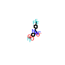 [O-][n+]1cc(-c2ccc(C(F)(F)F)cc2)nc2cc3c(cc21)OC(F)(F)O3